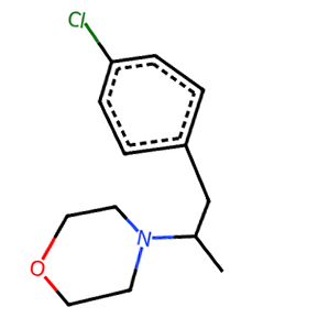 CC(Cc1ccc(Cl)cc1)N1CCOCC1